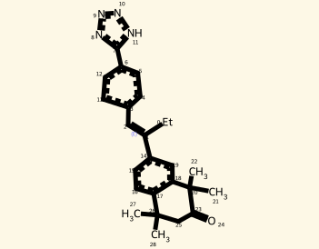 CC/C(=C\c1ccc(-c2nnn[nH]2)cc1)c1ccc2c(c1)C(C)(C)C(=O)CC2(C)C